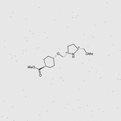 COC[C@H]1CC[C@@H](CO[C@H]2CC[C@H](C(=O)OC)CC2)N1